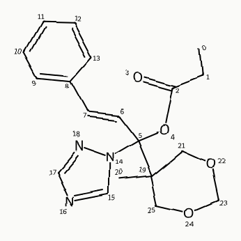 CCC(=O)OC(C=Cc1ccccc1)(n1cncn1)C1(C)COCOC1